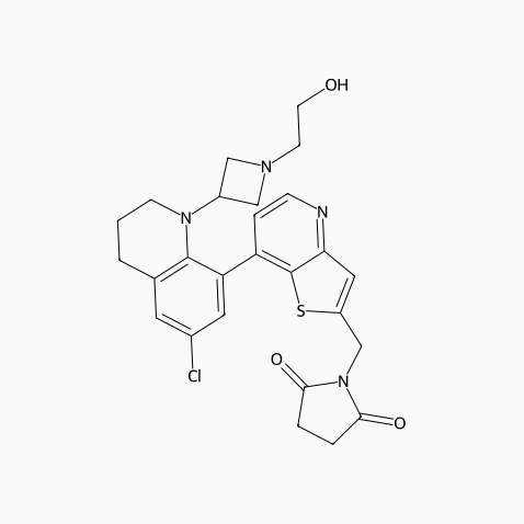 O=C1CCC(=O)N1Cc1cc2nccc(-c3cc(Cl)cc4c3N(C3CN(CCO)C3)CCC4)c2s1